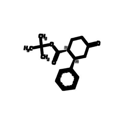 CC(C)(C)OC(=O)[C@@H]1CCC(=O)C[C@H]1c1ccccc1